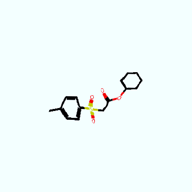 Cc1ccc(S(=O)(=O)CC(=O)OC2CCCCC2)cc1